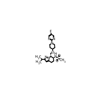 CC(C)c1cc2n(n1)[C@@H](COC1CCN(c3ncc(F)cn3)CC1)[C@@H](NS(C)(=O)=O)CC2